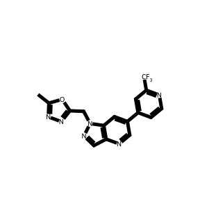 Cc1nnc(Cn2ncc3ncc(-c4ccnc(C(F)(F)F)c4)cc32)o1